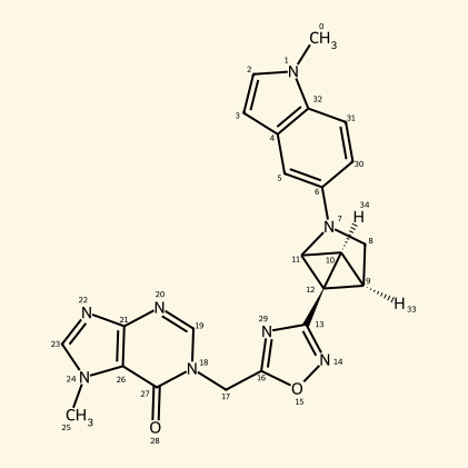 Cn1ccc2cc(N3C[C@@H]4[C@@H]5C3[C@@]45c3noc(Cn4cnc5ncn(C)c5c4=O)n3)ccc21